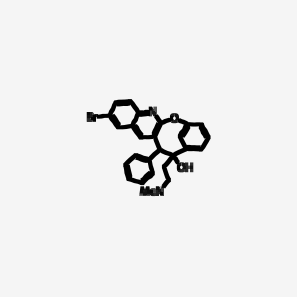 CNCCC1(O)c2cccc(c2)Oc2nc3ccc(Br)cc3cc2C1c1ccccc1